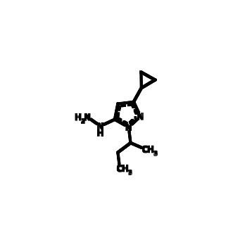 CCC(C)n1nc(C2CC2)cc1NN